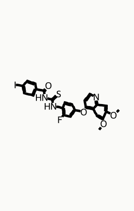 COc1cc2nccc(Oc3ccc(NC(=S)NC(=O)c4ccc(I)cc4)c(F)c3)c2cc1OC